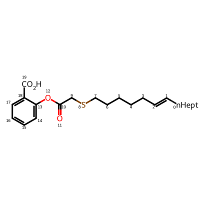 CCCCCCCC=CCCCCCSCC(=O)Oc1ccccc1C(=O)O